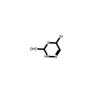 CCC1C=NNC(C=O)S1